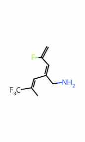 C=C(F)/C=C(\C=C(/C)C(F)(F)F)CN